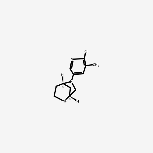 Cc1cc(N2C[C@H]3C[C@@H]2CCN3)cnc1Cl